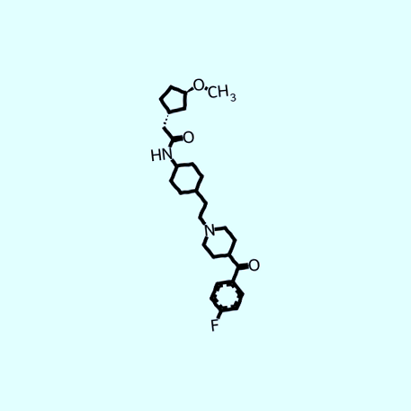 CO[C@@H]1CC[C@@H](CC(=O)NC2CCC(CCN3CCC(C(=O)c4ccc(F)cc4)CC3)CC2)C1